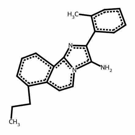 CCCc1cccc2c1ccn1c(N)c(-c3ccccc3C)nc21